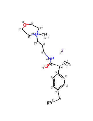 CC(C)Cc1ccc([C@@H](C)C(=O)NCCC[N+]2(C)CCOCC2)cc1.[I-]